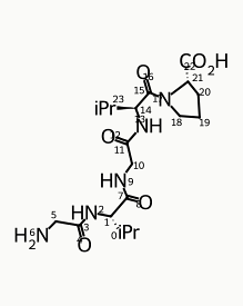 CC(C)[C@H](NC(=O)CN)C(=O)NCC(=O)N[C@H](C(=O)N1CCC[C@H]1C(=O)O)C(C)C